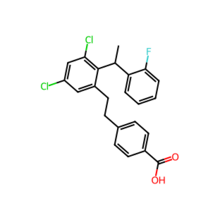 CC(c1ccccc1F)c1c(Cl)cc(Cl)cc1CCc1ccc(C(=O)O)cc1